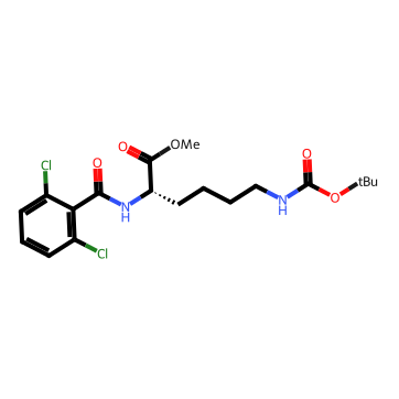 COC(=O)[C@H](CCCCNC(=O)OC(C)(C)C)NC(=O)c1c(Cl)cccc1Cl